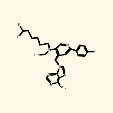 NCN(CCCCCC(F)F)c1cnc(-c2ccc(F)cc2)cc1Cn1cnc2c(N)ncnc21